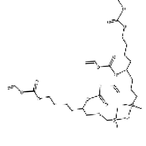 C=COC(=O)OCCCCC(CCC[Si](C)(C)O[Si](C)(C)CCCC(CCCCOC(=O)OC=C)OC(=O)OC=C)OC(=O)OC=C